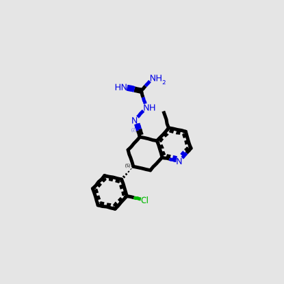 Cc1ccnc2c1/C(=N\NC(=N)N)C[C@@H](c1ccccc1Cl)C2